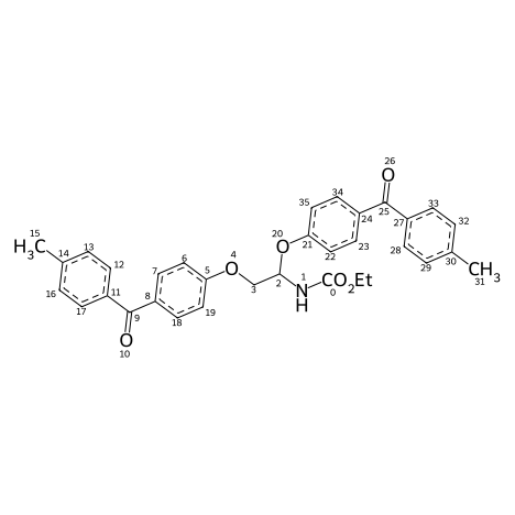 CCOC(=O)NC(COc1ccc(C(=O)c2ccc(C)cc2)cc1)Oc1ccc(C(=O)c2ccc(C)cc2)cc1